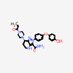 C=CC(=O)N1CCN([C@@H]2CCNc3c2nn(-c2ccc(Oc4ccc(O)cc4)cc2)c3C(N)=O)CC1